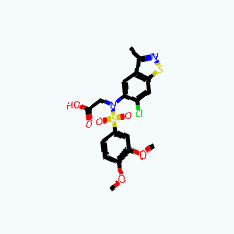 COc1ccc(S(=O)(=O)N(CC(=O)O)c2cc3c(C)nsc3cc2Cl)cc1OC